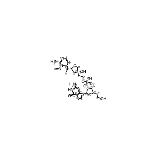 C=NN1C(N)=NC=N/C1=C(/C)[C@H]1C[C@](O)(CCOP(=O)(S)O[C@@H]2[C@H](F)[C@@H](CCO)O[C@H]2n2cnc3c(=O)[nH]c(N)nc32)CO1